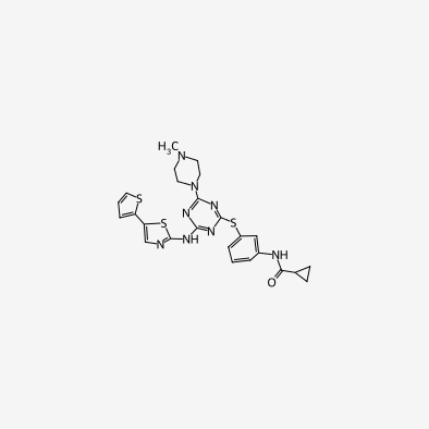 CN1CCN(c2nc(Nc3ncc(-c4cccs4)s3)nc(Sc3cccc(NC(=O)C4CC4)c3)n2)CC1